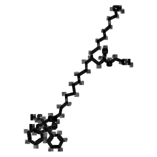 CCCCCCCCCC(CCCCCCCCCCCO[Si](c1ccccc1)(c1ccccc1)C(C)(C)C)CC(=O)OCC